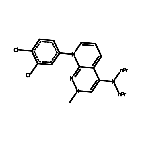 CCCN(CCC)C1=CN(C)N=C2C1=CC=CN2c1ccc(Cl)c(Cl)c1